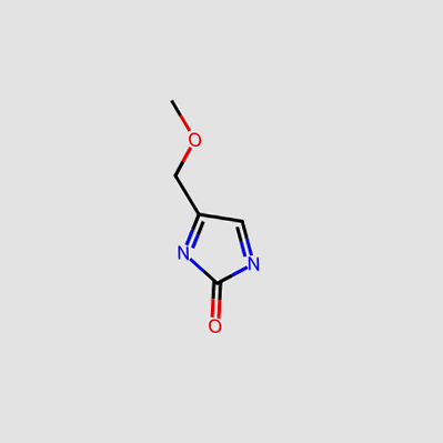 COCC1=NC(=O)N=C1